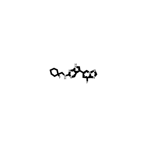 Fc1cc(-c2c[nH]c3nc(NCC4(F)CCCCC4)ncc23)cn2ncnc12